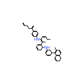 C=CCCC(=C)c1ccc(NC(/C=C\CC)=C(/C)C2=CC=CCC2NC2=CC=CC(c3c(C)ccc4c3C=CCC4)C2)cc1